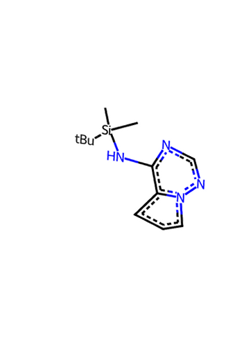 CC(C)(C)[Si](C)(C)Nc1ncnn2cccc12